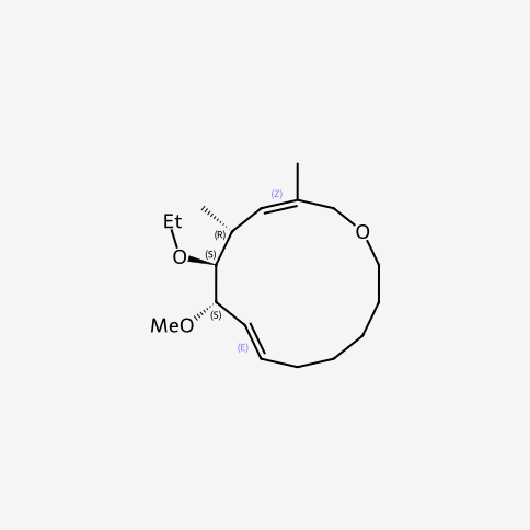 CCO[C@H]1[C@H](C)/C=C(/C)COCCCCC/C=C/[C@@H]1OC